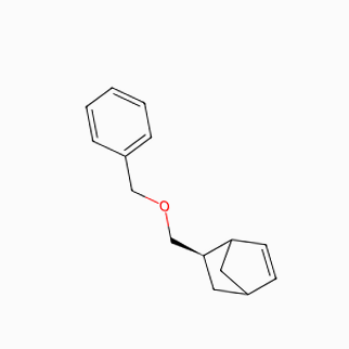 C1=CC2CC1C[C@H]2COCc1ccccc1